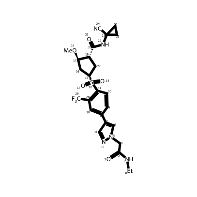 CCNC(=O)Cn1cc(-c2ccc(S(=O)(=O)[C@H]3C[C@@H](OC)[C@H](C(=O)NC4(C#N)CC4)C3)c(C(F)(F)F)c2)cn1